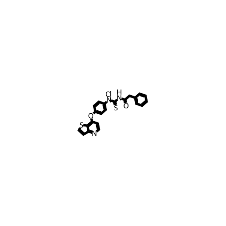 O=C(Cc1ccccc1)NC(=S)N(Cl)c1ccc(Oc2ccnc3ccsc23)cc1